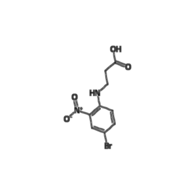 O=C(O)CCNc1ccc(Br)cc1[N+](=O)[O-]